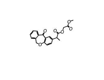 COC(=O)COC(=O)C(C)c1ccc2c(c1)C(=O)c1ccccc1CO2